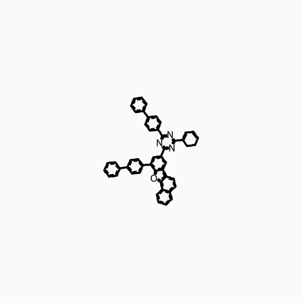 C1=CCCC(c2nc(-c3ccc(-c4ccccc4)cc3)nc(-c3cc(-c4ccc(-c5ccccc5)cc4)c4oc5c6ccccc6ccc5c4c3)n2)=C1